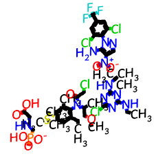 CCNc1nc(Cl)nc(NC(C)(C)C)n1.CCc1cccc(C)c1N(C(=O)CCl)C(C)COC.C[S+](C)C.Nc1c([N+](=O)[O-])cnn1-c1c(Cl)cc(C(F)(F)F)cc1Cl.O=C(O)CNCP(=O)([O-])O